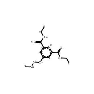 CCOC(=O)c1cc(OSSC)cc(C(=O)OCC)n1